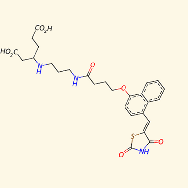 O=C(O)CCC(CC(=O)O)NCCCNC(=O)CCCOc1ccc(/C=C2\SC(=O)NC2=O)c2ccccc12